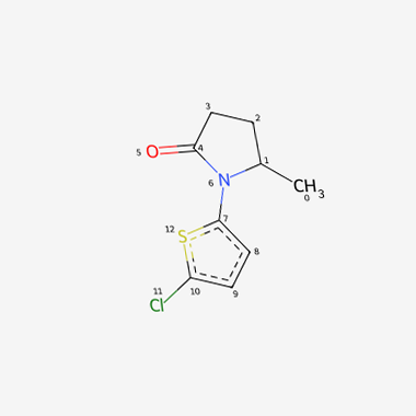 CC1CCC(=O)N1c1ccc(Cl)s1